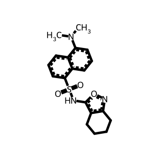 CN(C)c1cccc2c(S(=O)(=O)Nc3onc4c3CCCC4)cccc12